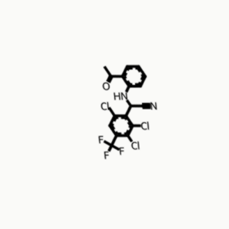 CC(=O)c1ccccc1NC(C#N)c1c(Cl)cc(C(F)(F)F)c(Cl)c1Cl